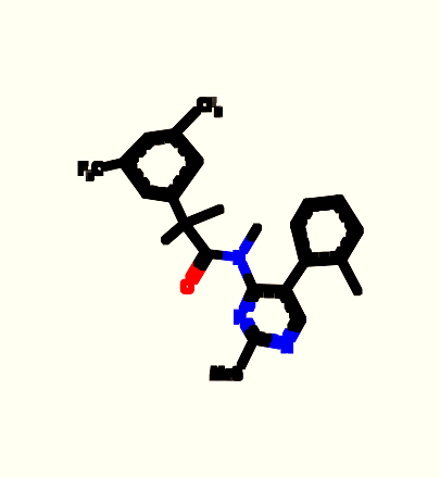 CSc1ncc(-c2ccccc2C)c(N(C)C(=O)C(C)(C)c2cc(C(F)(F)F)cc(C(F)(F)F)c2)n1